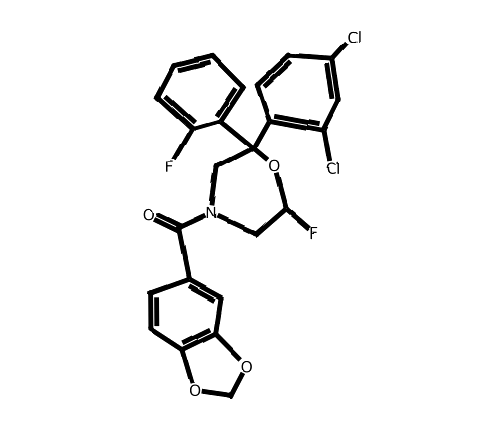 O=C(c1ccc2c(c1)OCO2)N1CC(F)OC(c2ccccc2F)(c2ccc(Cl)cc2Cl)C1